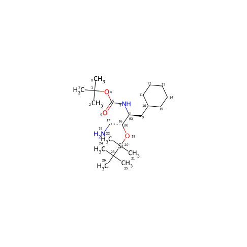 CC(C)(C)OC(=O)N[C@@H](CC1CCCCC1)[C@@H](CN)O[Si](C)(C)C(C)(C)C